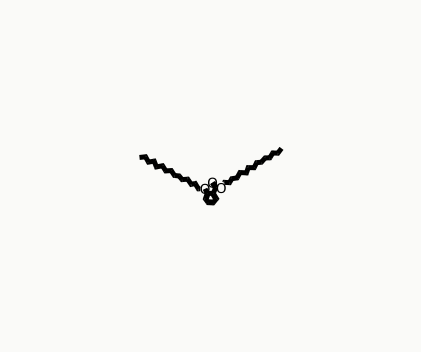 CCCCCCCCCCCCCCCOC(=O)c1ccccc1OCCCCCCCCCCCCCCC